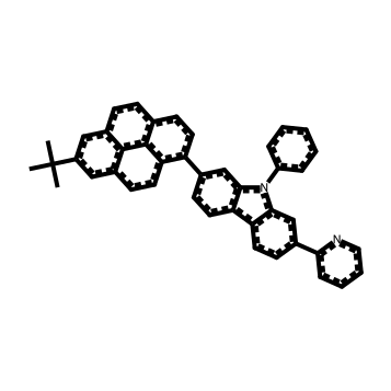 CC(C)(C)c1cc2ccc3ccc(-c4ccc5c6ccc(-c7ccccn7)cc6n(-c6ccccc6)c5c4)c4ccc(c1)c2c34